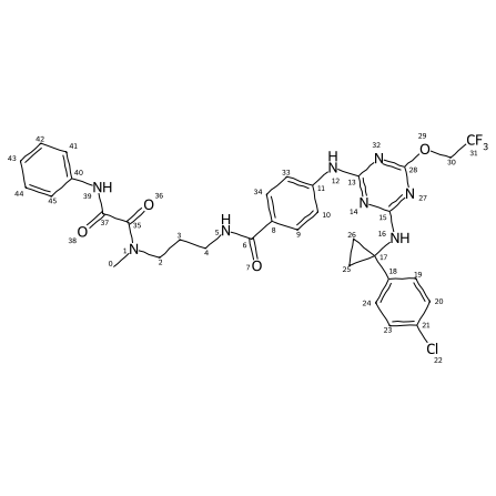 CN(CCCNC(=O)c1ccc(Nc2nc(NC3(c4ccc(Cl)cc4)CC3)nc(OCC(F)(F)F)n2)cc1)C(=O)C(=O)Nc1ccccc1